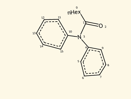 CCCCCCC(=O)N(c1ccccc1)c1ccccc1